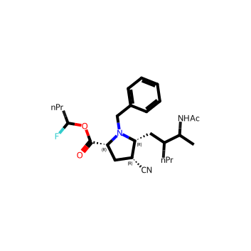 CCCC(F)OC(=O)[C@H]1C[C@@H](C#N)[C@@H](CC(CCC)C(C)NC(C)=O)N1Cc1ccccc1